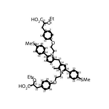 CCOC(Cc1ccc(OCCn2c(Cc3cc(-c4ccc(SC)cc4)n(CCOc4ccc(CC(OCC)C(=O)O)cc4)c3C)ccc2-c2ccc(SC)cc2)cc1)C(=O)O